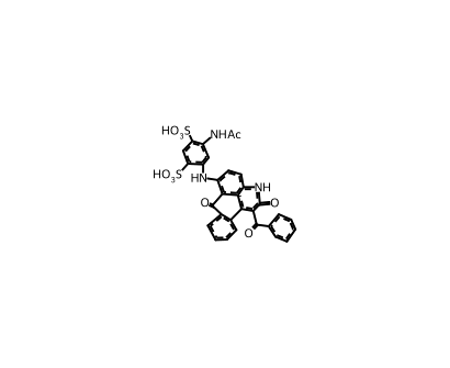 CC(=O)Nc1cc(Nc2ccc3[nH]c(=O)c(C(=O)c4ccccc4)c4c3c2C(=O)c2ccccc2-4)c(S(=O)(=O)O)cc1S(=O)(=O)O